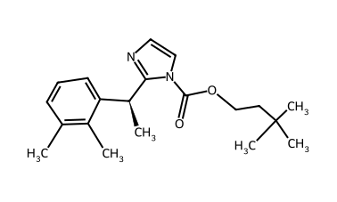 Cc1cccc([C@H](C)c2nccn2C(=O)OCCC(C)(C)C)c1C